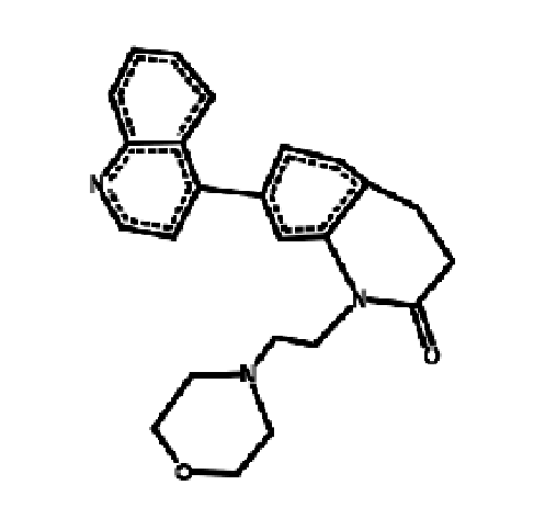 O=C1CCc2ccc(-c3ccnc4ccccc34)cc2N1CCN1CCOCC1